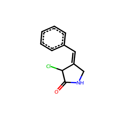 O=C1NCC(=Cc2ccccc2)C1Cl